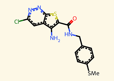 CSc1ccc(CNC(=O)c2sc3nnc(Cl)cc3c2N)cc1